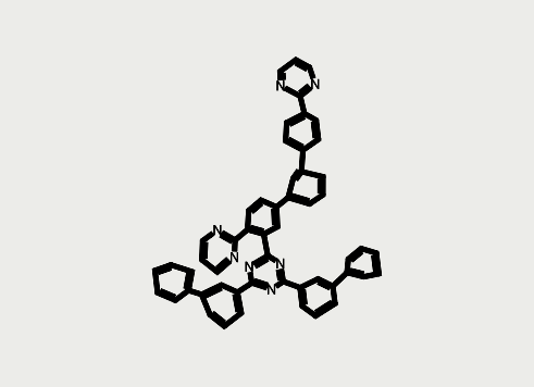 c1ccc(-c2cccc(-c3nc(-c4cccc(-c5ccccc5)c4)nc(-c4cc(-c5cccc(-c6ccc(-c7ncccn7)cc6)c5)ccc4-c4ncccn4)n3)c2)cc1